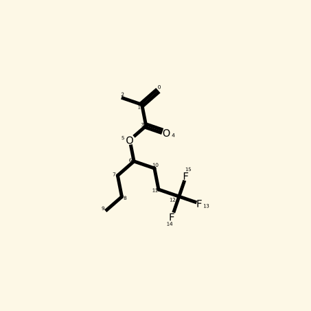 C=C(C)C(=O)OC(CCC)CCC(F)(F)F